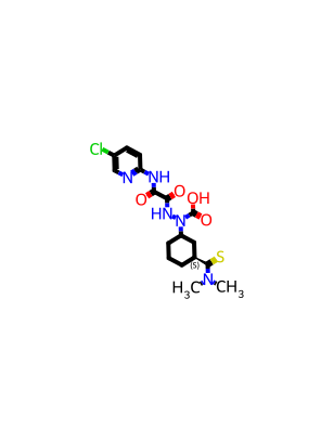 CN(C)C(=S)[C@H]1CCCC(N(NC(=O)C(=O)Nc2ccc(Cl)cn2)C(=O)O)C1